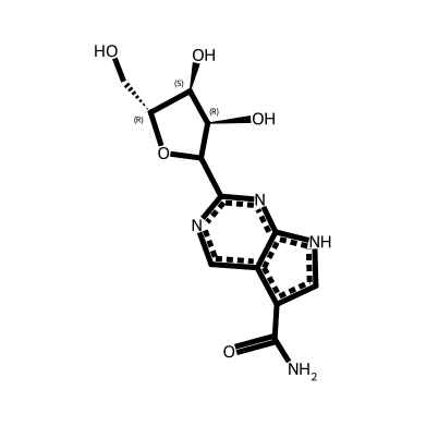 NC(=O)c1c[nH]c2nc(C3O[C@H](CO)[C@@H](O)[C@H]3O)ncc12